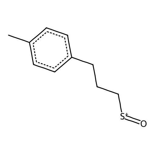 Cc1ccc(CCC[S+]=O)cc1